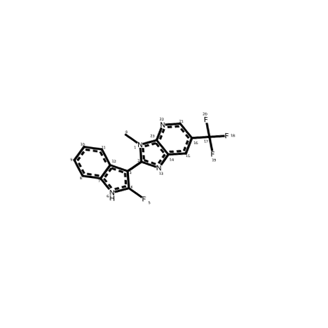 Cn1c(-c2c(F)[nH]c3ccccc23)nc2cc(C(F)(F)F)cnc21